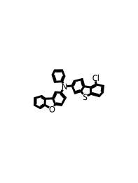 Clc1cccc2sc3cc(N(c4ccccc4)c4ccc5oc6ccccc6c5c4)ccc3c12